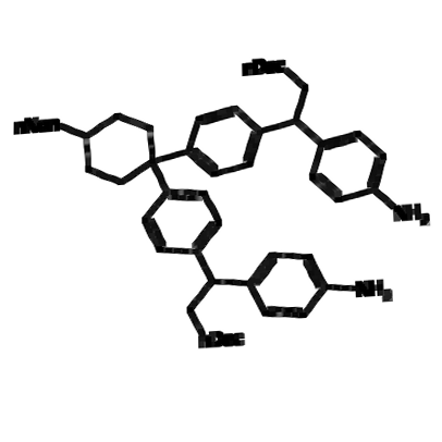 CCCCCCCCCCCC(c1ccc(N)cc1)c1ccc(C2(c3ccc(C(CCCCCCCCCCC)c4ccc(N)cc4)cc3)CCC(CCCCCCCCC)CC2)cc1